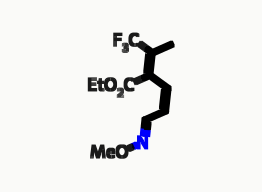 CCOC(=O)C(/C=C\C=N\OC)=C(/C)C(F)(F)F